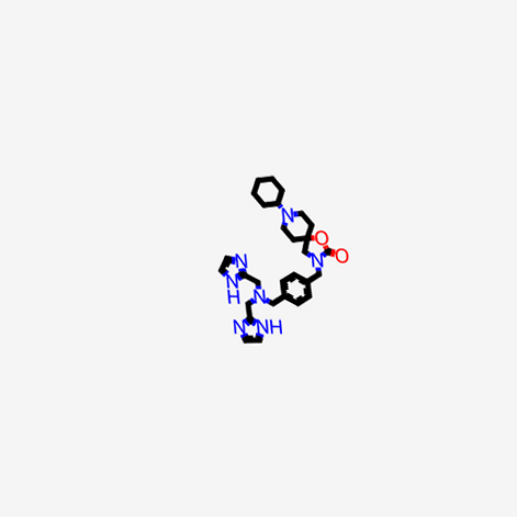 O=C1OC2(CCN(C3CCCCC3)CC2)CN1Cc1ccc(CN(Cc2ncc[nH]2)Cc2ncc[nH]2)cc1